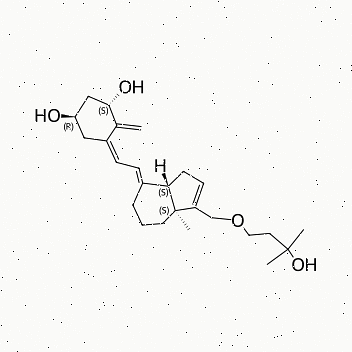 C=C1C(=CC=C2CCC[C@]3(C)C(COCCC(C)(C)O)=CC[C@@H]23)C[C@@H](O)C[C@@H]1O